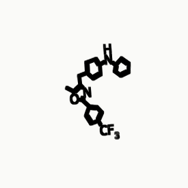 Cc1oc(-c2ccc(C(F)(F)F)cc2)nc1Cc1ccc(Nc2ccccc2)cc1